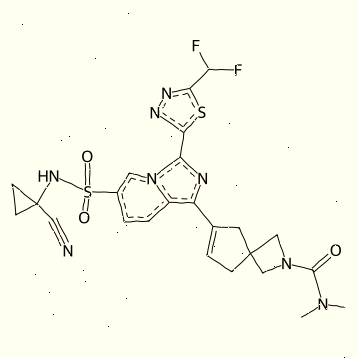 CN(C)C(=O)N1CC2(CC=C(c3nc(-c4nnc(C(F)F)s4)n4cc(S(=O)(=O)NC5(C#N)CC5)ccc34)C2)C1